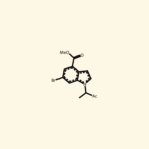 COC(=O)c1cc(Br)cc2c1ccn2C(C)C(C)=O